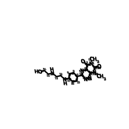 Cn1c(=O)c2nc(-c3ccc(NCCNCCO)cc3)nnc2n(C)c1=O